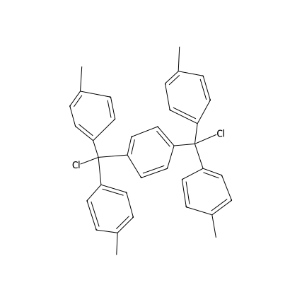 Cc1ccc(C(Cl)(c2ccc(C)cc2)c2ccc(C(Cl)(c3ccc(C)cc3)c3ccc(C)cc3)cc2)cc1